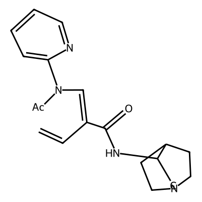 C=C/C(=C\N(C(C)=O)c1ccccn1)C(=O)NC1CN2CCC1CC2